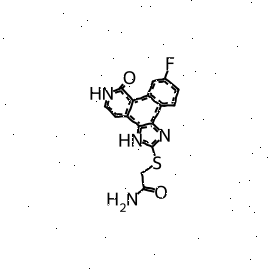 NC(=O)CSc1nc2c3ccc(F)cc3c3c(=O)[nH]ccc3c2[nH]1